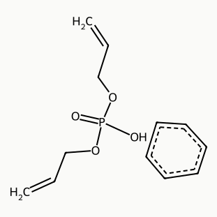 C=CCOP(=O)(O)OCC=C.c1ccccc1